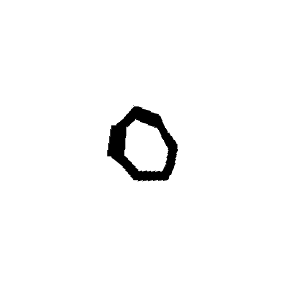 C1#CCCCC=C1